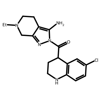 CCN1CCc2c(nn(C(=O)C3CCNc4ccc(Cl)cc43)c2N)C1